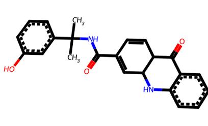 CC(C)(NC(=O)C1=CC2Nc3ccccc3C(=O)C2C=C1)c1cccc(O)c1